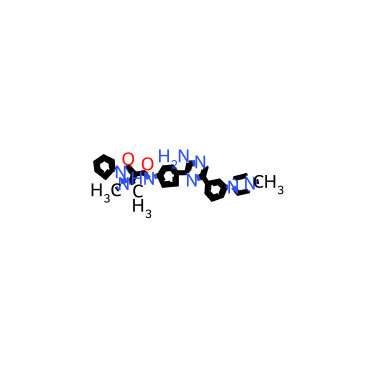 Cc1c(C(=O)Nc2ccc(-c3nc(-c4cccc(N5CCN(C)CC5)c4)cnc3N)cc2)c(=O)n(-c2ccccc2)n1C